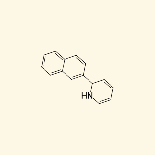 C1=CNC(c2ccc3ccccc3c2)C=C1